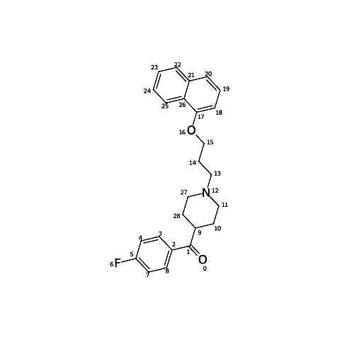 O=C(c1ccc(F)cc1)C1CCN(CCCOc2cccc3ccccc23)CC1